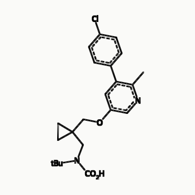 Cc1ncc(OCC2(CN(C(=O)O)C(C)(C)C)CC2)cc1-c1ccc(Cl)cc1